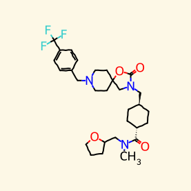 CN(CC1CCCO1)C(=O)[C@H]1CC[C@H](CN2CC3(CCN(Cc4ccc(C(F)(F)F)cc4)CC3)OC2=O)CC1